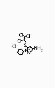 Nc1cn[n+](-c2ccccc2)c(SCC(Cl)=C(Cl)Cl)c1.[Cl-]